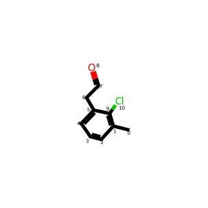 Cc1cccc(C[C]=O)c1Cl